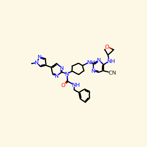 Cn1cc(-c2cnc(N(C(=O)NCc3ccccc3)C3CCC(Nc4ncc(C#N)c(NC5COC5)n4)CC3)nc2)cn1